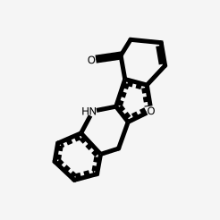 O=C1CC=Cc2oc3c(c21)Nc1ccccc1C3